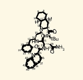 CC(C)(C)NC(=O)[C@@H]1C[C@@H]2CCCC[C@@H]2CN1CC[C@H](Cc1ccccc1)NC(=O)[C@H](CC(N)=O)NC(=O)c1ccc2ccccc2n1